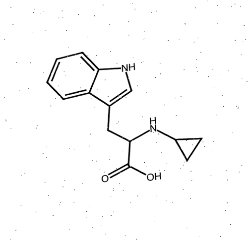 O=C(O)C(Cc1c[nH]c2ccccc12)NC1CC1